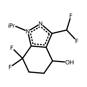 CC(C)n1nc(C(F)F)c2c1C(F)(F)CCC2O